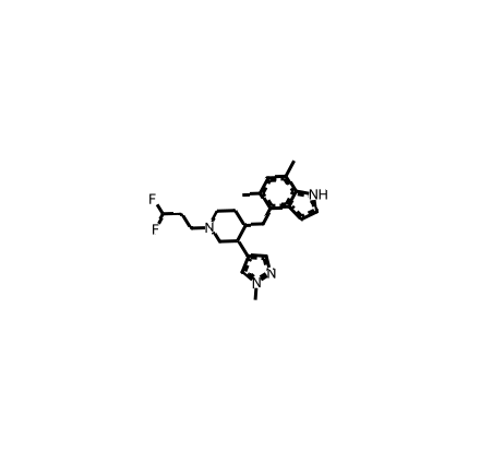 Cc1cc(C)c2[nH]ccc2c1CC1CCN(CCC(F)F)CC1c1cnn(C)c1